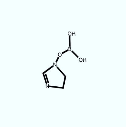 OB(O)ON1C=NCC1